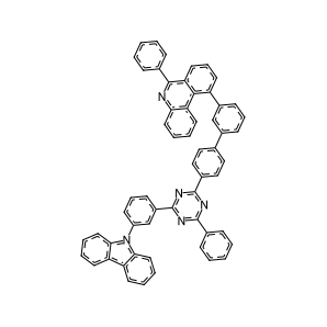 c1ccc(-c2nc(-c3ccc(-c4cccc(-c5cccc6c(-c7ccccc7)nc7ccccc7c56)c4)cc3)nc(-c3cccc(-n4c5ccccc5c5ccccc54)c3)n2)cc1